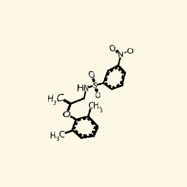 Cc1cccc(C)c1OC(C)CNS(=O)(=O)c1cccc([N+](=O)[O-])c1